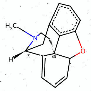 CN1CC[C@@]23C4=CC=CC2Oc2cccc(c23)C[C@H]41